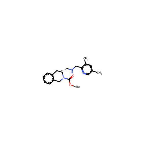 Cc1cnc(CNC[C@H]2Cc3ccccc3CN2C(=O)OC(C)(C)C)c(C)c1